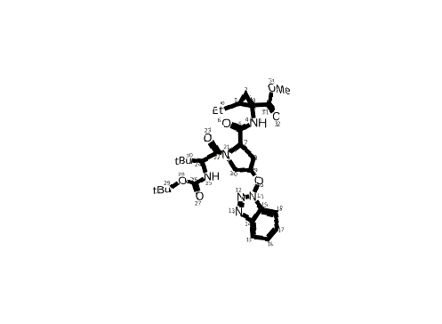 CCC1CC1(NC(=O)C1CC(On2nnc3ccccc32)CN1C(=O)C(NC(=O)OC(C)(C)C)C(C)(C)C)C(=O)OC